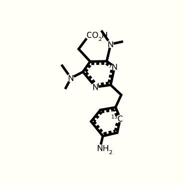 CN(C)c1nc(Cc2ccc(N)c[13cH]2)nc(N(C)C)c1CC(=O)O